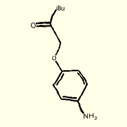 CCC(C)C(=O)COc1ccc(N)cc1